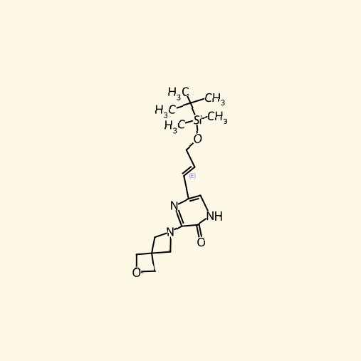 CC(C)(C)[Si](C)(C)OC/C=C/c1c[nH]c(=O)c(N2CC3(COC3)C2)n1